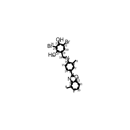 Cc1cc(-c2nc3c(C)cccc3o2)ccc1/N=C/c1cc(Br)c(O)c(Br)c1O